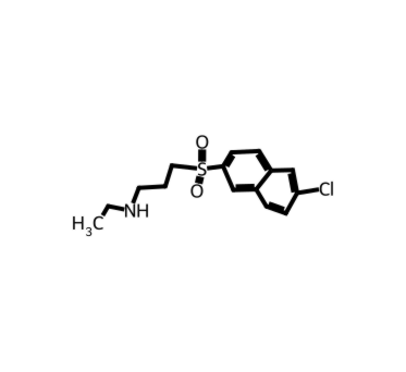 CCNCCCS(=O)(=O)c1ccc2cc(Cl)ccc2c1